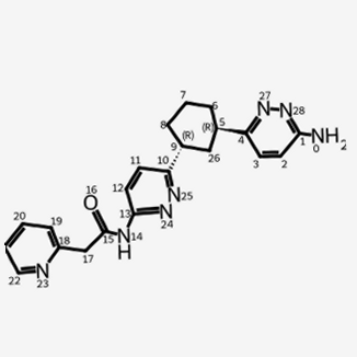 Nc1ccc([C@@H]2CCC[C@@H](c3ccc(NC(=O)Cc4ccccn4)nn3)C2)nn1